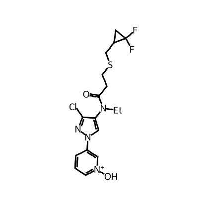 CCN(C(=O)CCSCC1CC1(F)F)c1cn(-c2ccc[n+](O)c2)nc1Cl